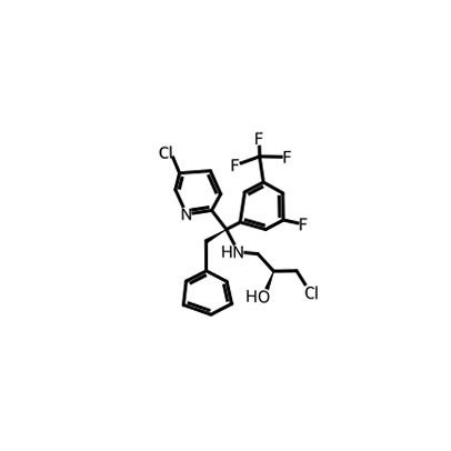 O[C@H](CCl)CN[C@@](Cc1ccccc1)(c1cc(F)cc(C(F)(F)F)c1)c1ccc(Cl)cn1